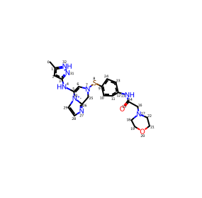 Cc1cc(NC2=CN(Sc3ccc(NC(=O)CN4CCOCC4)cc3)CC3=NC=C[N+]23)n[nH]1